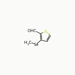 C[Se]c1ccsc1C=O